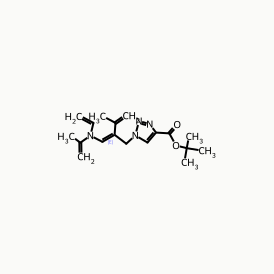 C=CN(/C=C(/Cn1cc(C(=O)OC(C)(C)C)nn1)C(=C)C)C(=C)C